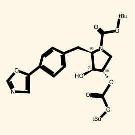 CC(C)(C)OC(=O)O[C@H]1CN(C(=O)OC(C)(C)C)[C@H](Cc2ccc(-c3cnco3)cc2)[C@@H]1O